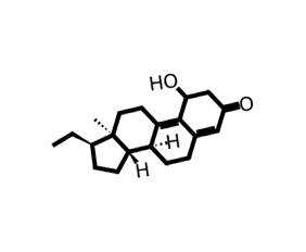 CC[C@@H]1CC[C@H]2[C@@H]3CCC4=CC(=O)CC(O)C4=C3CC[C@]12C